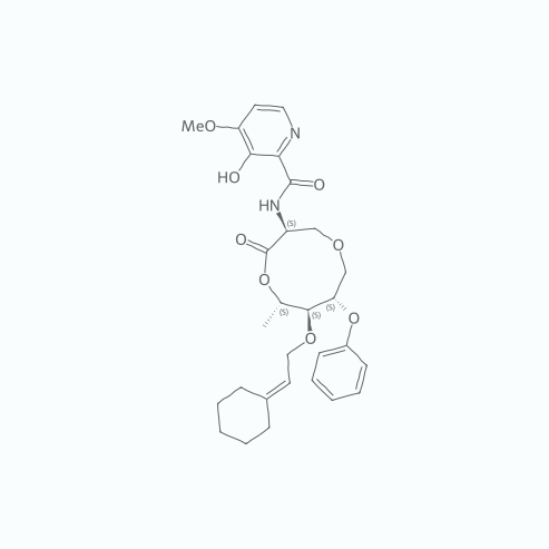 COc1ccnc(C(=O)N[C@H]2COC[C@H](Oc3ccccc3)[C@@H](OCC=C3CCCCC3)[C@H](C)OC2=O)c1O